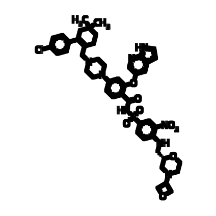 CC1(C)CCC(CN2CCN(c3ccc(C(=O)NS(=O)(=O)c4ccc(NC[C@H]5CN(C6COC6)CCO5)c([N+](=O)[O-])c4)c(Oc4cnc5[nH]ccc5c4)c3)CC2)=C(c2ccc(Cl)cc2)C1